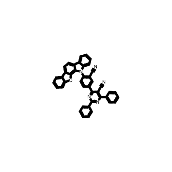 N#Cc1cc(-c2nc(-c3ccccc3)nc(-c3ccccc3)c2C#N)ccc1-n1c2ccccc2c2ccc3c4ccccc4oc3c21